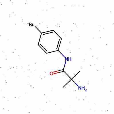 CC(C)(N)C(=O)Nc1ccc(C(C)(C)C)cc1